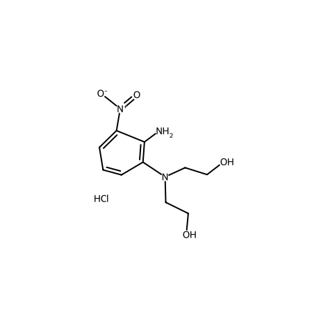 Cl.Nc1c(N(CCO)CCO)cccc1[N+](=O)[O-]